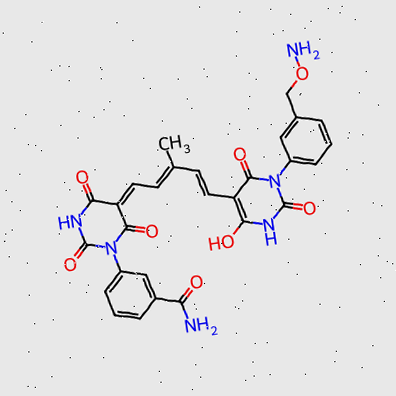 CC(C=Cc1c(O)[nH]c(=O)n(-c2cccc(CON)c2)c1=O)=CC=C1C(=O)NC(=O)N(c2cccc(C(N)=O)c2)C1=O